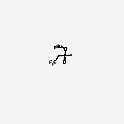 CCCCOP(C)(=O)CC(F)(F)F